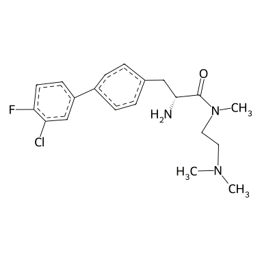 CN(C)CCN(C)C(=O)[C@H](N)Cc1ccc(-c2ccc(F)c(Cl)c2)cc1